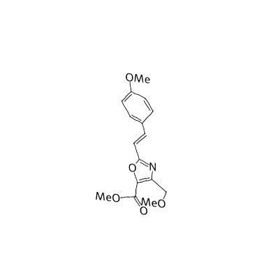 COCc1nc(C=Cc2ccc(OC)cc2)oc1C(=O)OC